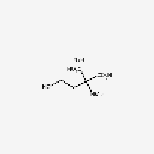 CNC(CCO)(C(=O)O)C(=O)O.[NaH]